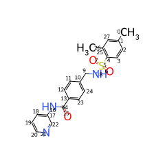 Cc1ccc(S(=O)(=O)NCc2ccc(C(=O)Nc3cccnc3)cc2)c(C)c1